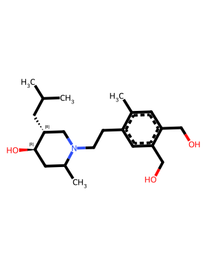 Cc1cc(CO)c(CO)cc1CCN1C[C@@H](CC(C)C)[C@H](O)CC1C